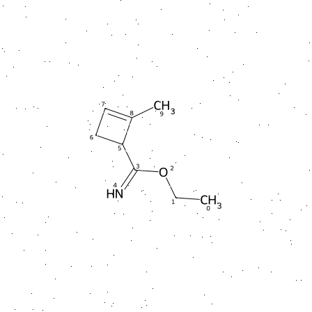 CCOC(=N)C1CC=C1C